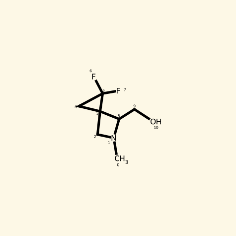 CN1CC2(CC2(F)F)C1CO